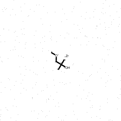 COCC(C)(C)O.[Zr]